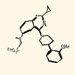 CCOC(=O)CN(C)c1ccc2nc(C3CC3)nc(N3CCC(c4ccccc4OC)CC3)c2c1